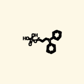 O=P(O)(O)OSCCN(c1ccccc1)c1ccccc1